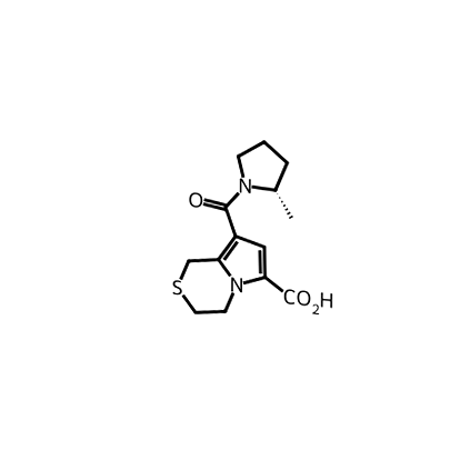 C[C@H]1CCCN1C(=O)c1cc(C(=O)O)n2c1CSCC2